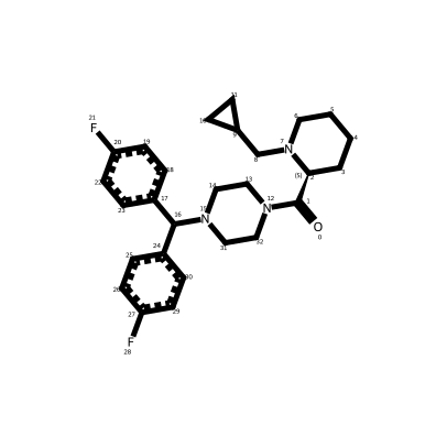 O=C([C@@H]1CCCCN1CC1CC1)N1CCN(C(c2ccc(F)cc2)c2ccc(F)cc2)CC1